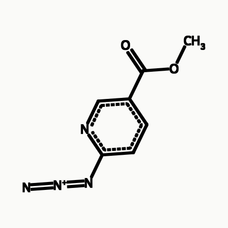 COC(=O)c1ccc(N=[N+]=[N-])nc1